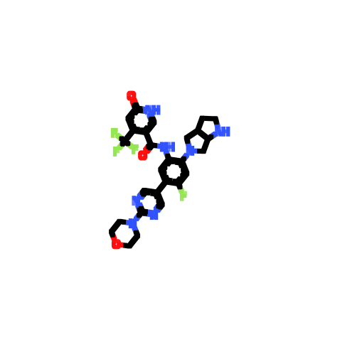 O=C(Nc1cc(-c2cnc(N3CCOCC3)nc2)c(F)cc1N1CC2CCNC2C1)c1c[nH]c(=O)cc1C(F)(F)F